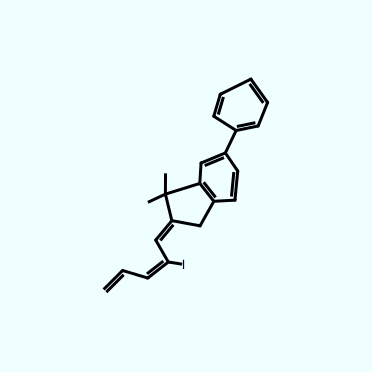 C=C/C=C(I)\C=C1/Cc2ccc(-c3ccccc3)cc2C1(C)C